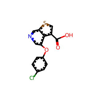 O=C(O)c1csc2cncc(Oc3ccc(Cl)cc3)c12